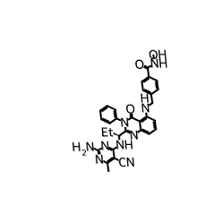 CC[C@H](Nc1nc(N)nc(C)c1C#N)c1nc2cccc(NCc3ccc(C(=O)NO)cc3)c2c(=O)n1-c1ccccc1